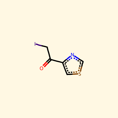 O=C(CI)c1cscn1